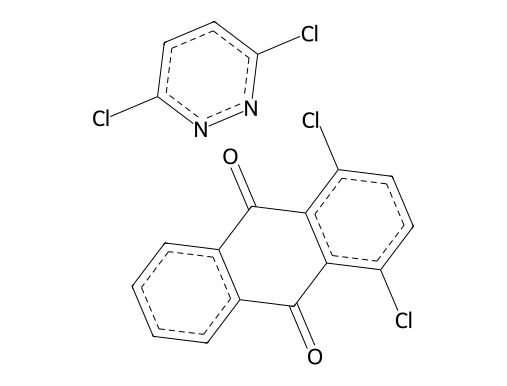 Clc1ccc(Cl)nn1.O=C1c2ccccc2C(=O)c2c(Cl)ccc(Cl)c21